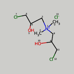 C[N+](C)(CC(O)CCl)CC(O)CCl.[Cl-]